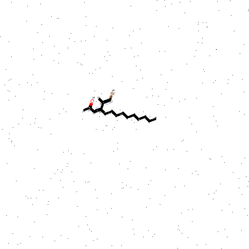 CCCCCCCCCCC(=C/C(C)=O)/C(C)=C/Br